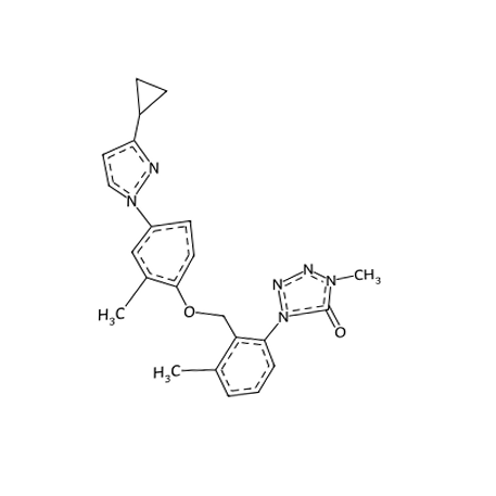 Cc1cc(-n2ccc(C3CC3)n2)ccc1OCc1c(C)cccc1-n1nnn(C)c1=O